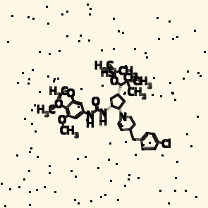 COc1cc(NC(=O)N[C@@H]2C[C@H](C(O[SiH](C)C)C(C)(C)C)C[C@@H]2N2CCC(Cc3ccc(Cl)cc3)CC2)cc(OC)c1OC